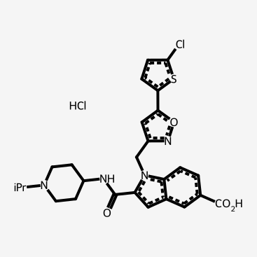 CC(C)N1CCC(NC(=O)c2cc3cc(C(=O)O)ccc3n2Cc2cc(-c3ccc(Cl)s3)on2)CC1.Cl